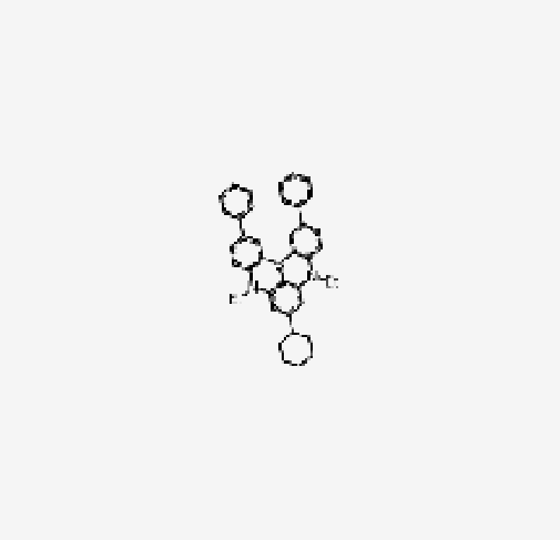 CCN1c2ccc(-c3ccccc3)cc2B2c3cc(-c4ccccc4)ccc3N(CC)c3cc(C4CCCCC4)cc1c32